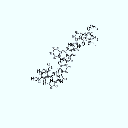 COC(=O)N[C@H](C(=O)N1CCC[C@H]1c1ncc(-c2ccc3c(c2)cc2n3[C@H](c3ccccc3)Oc3cc(-c4cnc([C@@H]5CCCN5C(=O)[C@@H](NC(=O)CO)C(C)C)[nH]4)ccc3-2)[nH]1)C(C)C